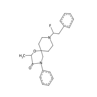 CC1OC2(CCN(C(F)Cc3ccccc3)CC2)CN(c2ccccc2)C1=O